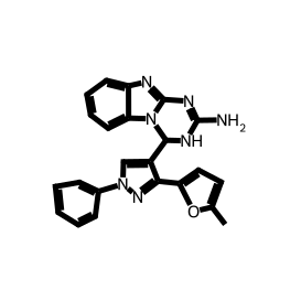 Cc1ccc(-c2nn(-c3ccccc3)cc2C2NC(N)=Nc3nc4ccccc4n32)o1